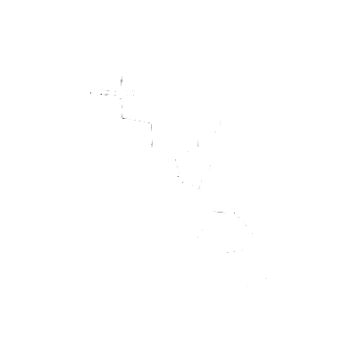 CS(=O)(=O)CCOc1nn(C2CCC3(CC2)OCCO3)cc1C(=O)O